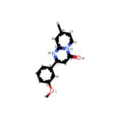 COc1cccc(-c2cc(=O)n3ccc(C)cc3n2)c1